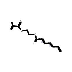 C=C/C=C/C=C/C(=O)OCCOC(=O)C(=C)C